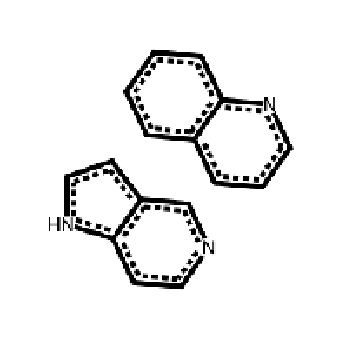 c1cc2[nH]ccc2cn1.c1ccc2ncccc2c1